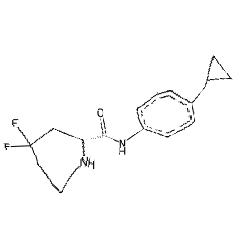 O=C(Nc1ccc(C2CC2)cc1)[C@H]1CC(F)(F)CCN1